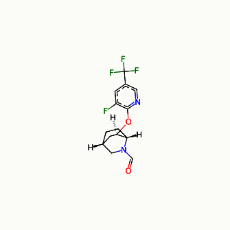 O=CN1C[C@@H]2CC[C@H]1[C@H](Oc1ncc(C(F)(F)F)cc1F)C2